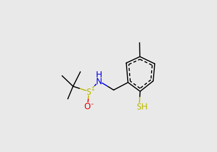 Cc1ccc(S)c(CN[S+]([O-])C(C)(C)C)c1